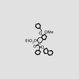 CCOC(=O)[C@@H]1Cc2c(ccc(OC)c2OCc2ccccc2)CN1C(=O)[C@@H](Oc1ccc2ccccc2c1)c1ccccc1